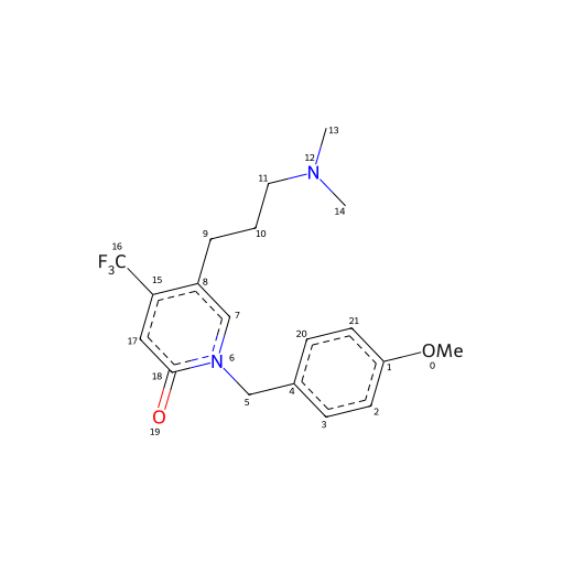 COc1ccc(Cn2cc(CCCN(C)C)c(C(F)(F)F)cc2=O)cc1